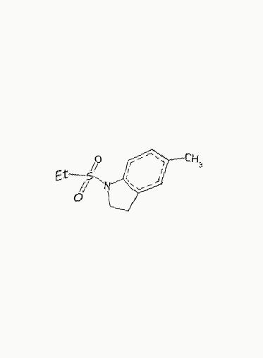 CCS(=O)(=O)N1CCc2cc(C)ccc21